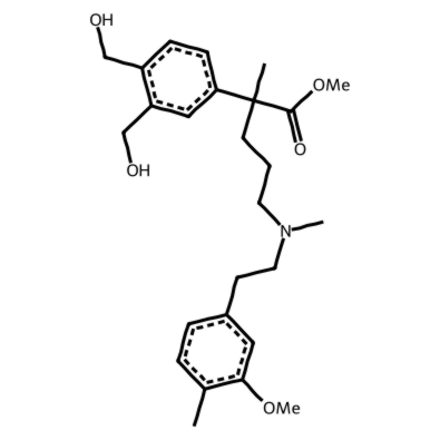 COC(=O)C(C)(CCCN(C)CCc1ccc(C)c(OC)c1)c1ccc(CO)c(CO)c1